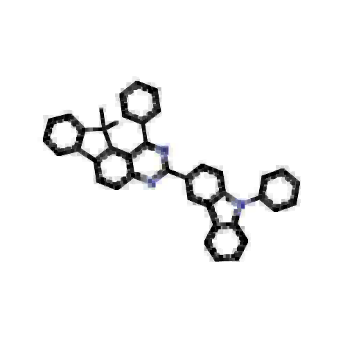 CC1(C)c2ccccc2-c2ccc3nc(-c4ccc5c(c4)c4ccccc4n5-c4ccccc4)nc(-c4ccccc4)c3c21